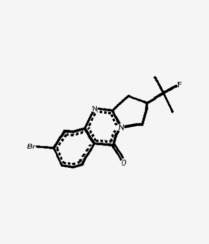 CC(C)(F)C1Cc2nc3cc(Br)ccc3c(=O)n2C1